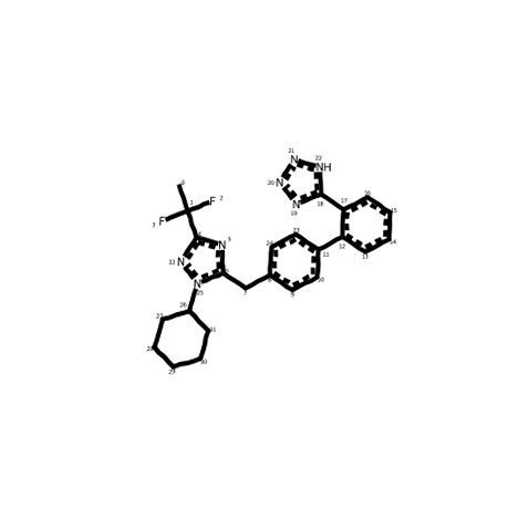 CC(F)(F)c1nc(Cc2ccc(-c3ccccc3-c3nnn[nH]3)cc2)n(C2CCCCC2)n1